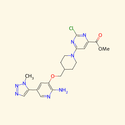 COC(=O)c1cc(N2CCC(COc3cc(-c4cnnn4C)cnc3N)CC2)nc(Cl)n1